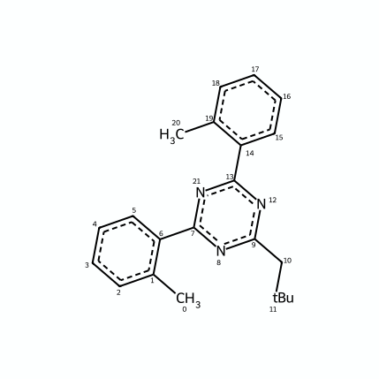 Cc1ccccc1-c1nc(CC(C)(C)C)nc(-c2ccccc2C)n1